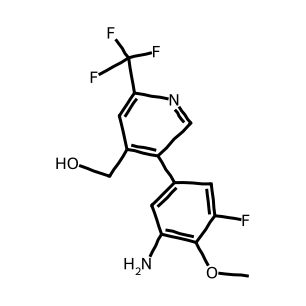 COc1c(N)cc(-c2cnc(C(F)(F)F)cc2CO)cc1F